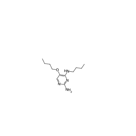 CCCCNc1nc(N)ncc1OCCCC